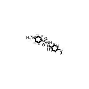 COc1ccc(NNS(=O)(=O)c2ccc(N)cc2)cn1